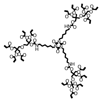 C=CC(=O)OCC(COCCC(COC(=O)C=C)(COC(=O)C=C)OC(=O)NCCCCCCn1c(=O)n(CCCCCCNC(=O)OCC(COCC(COC(=O)C=C)(OC(=O)C=C)OC(=O)C=C)(COC(=O)C=C)COC(=O)C=C)c(=O)n(CCCCCCNC(=O)OCC(COCC(COC(=O)C=C)(OC(=O)C=C)OC(=O)C=C)(COC(=O)C=C)COC(=O)C=C)c1=O)(COC(=O)C=C)COC(=O)C=C